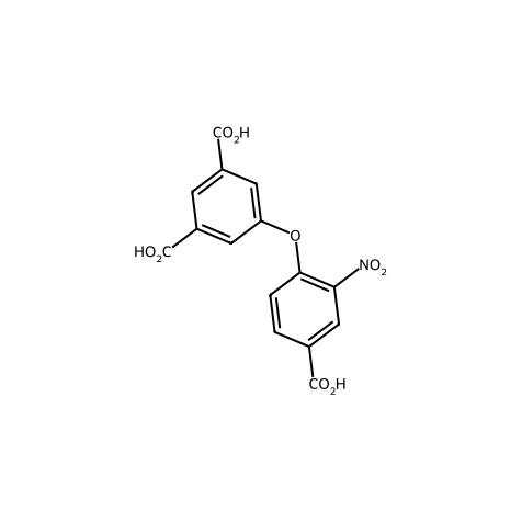 O=C(O)c1cc(Oc2ccc(C(=O)O)cc2[N+](=O)[O-])cc(C(=O)O)c1